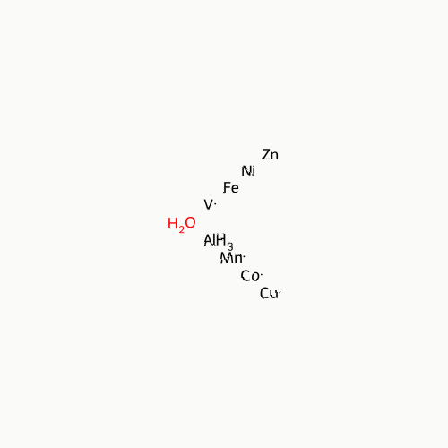 O.[AlH3].[Co].[Cu].[Fe].[Mn].[Ni].[V].[Zn]